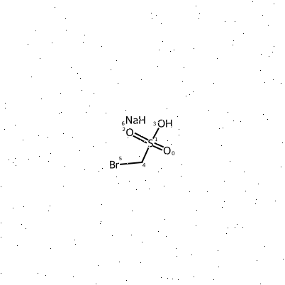 O=S(=O)(O)CBr.[NaH]